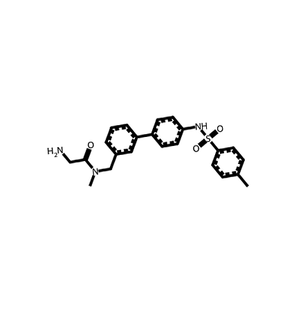 Cc1ccc(S(=O)(=O)Nc2ccc(-c3cccc(CN(C)C(=O)CN)c3)cc2)cc1